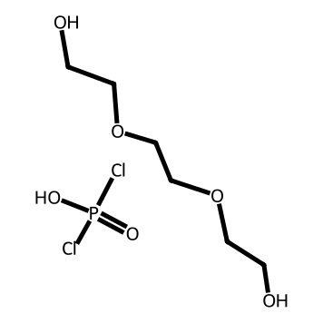 O=P(O)(Cl)Cl.OCCOCCOCCO